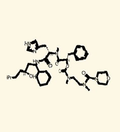 CC(C)CC[C@H](O)CC(NC(=O)[C@H](Cc1c[nH]cn1)N(C)C(=O)[C@H](Cc1ccccc1)OC(=O)N(C)CCN(C)C(=O)N1CCOCC1)C1CCCCC1